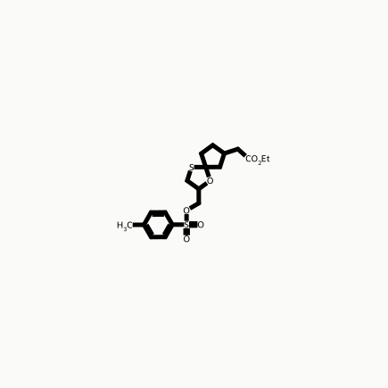 CCOC(=O)CC1CCC2(C1)OC(COS(=O)(=O)c1ccc(C)cc1)CS2